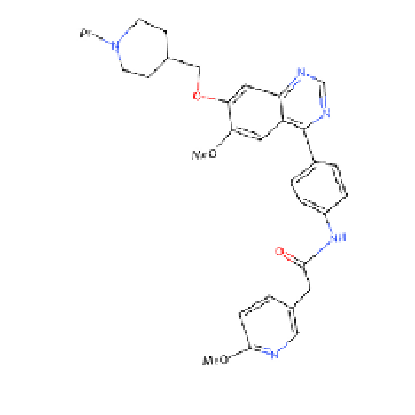 COc1ccc(CC(=O)Nc2ccc(-c3ncnc4cc(OCC5CCN(C(C)C)CC5)c(OC)cc34)cc2)cn1